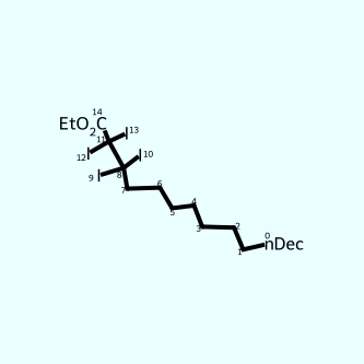 CCCCCCCCCCCCCCCCCC(I)(I)C(I)(I)C(=O)OCC